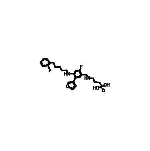 O=P(O)(O)CCCNCc1cc(-c2ccoc2)c(NCCCCCc2ccccc2F)cc1F